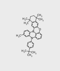 Cc1ccc2c(c1)N(c1ccc(C(C)(C)C)cc1)c1cccc3c1B2c1cc2c(cc1O3)C(C)(C)CCC2(C)C